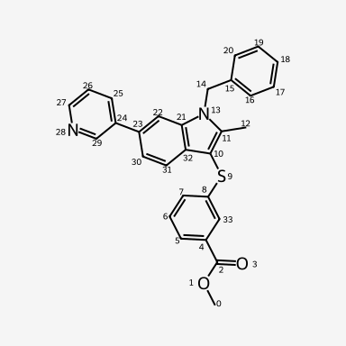 COC(=O)c1cccc(Sc2c(C)n(Cc3ccccc3)c3cc(-c4cccnc4)ccc23)c1